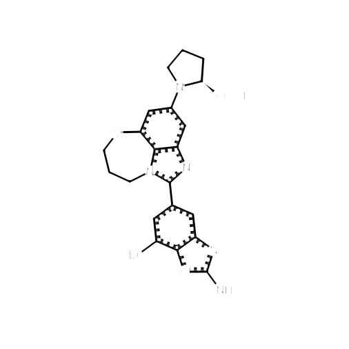 CCc1cc(-c2nc3cc(N4CCC[C@H]4C(=O)O)cc4c3n2CCCO4)cc2nc(N)oc12